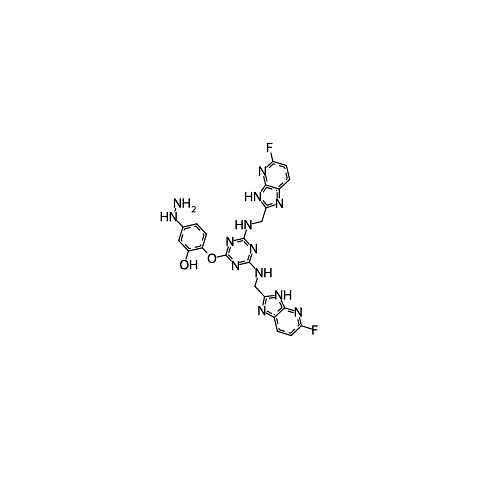 NNc1ccc(Oc2nc(NCc3nc4ccc(F)nc4[nH]3)nc(NCc3nc4ccc(F)nc4[nH]3)n2)c(O)c1